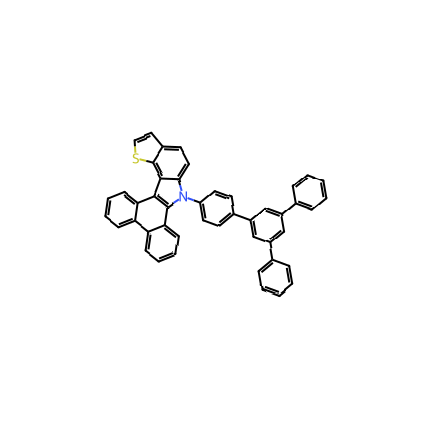 c1ccc(-c2cc(-c3ccccc3)cc(-c3ccc(-n4c5ccc6ccsc6c5c5c6ccccc6c6ccccc6c54)cc3)c2)cc1